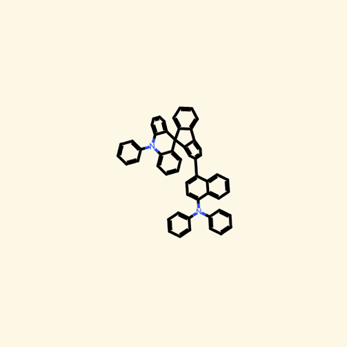 c1ccc(N2c3ccccc3C3(c4ccccc4-c4ccc(-c5ccc(N(c6ccccc6)c6ccccc6)c6ccccc56)cc43)c3ccccc32)cc1